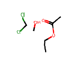 CCOC(C)=O.CO.ClCCl